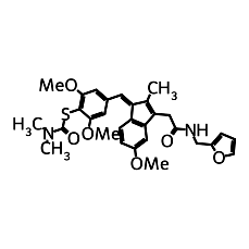 COc1ccc2c(c1)C(CC(=O)NCc1ccco1)=C(C)/C2=C/c1cc(OC)c(SC(=O)N(C)C)c(OC)c1